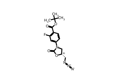 CC(C)(C)OC(=O)c1ccc(N2C[C@H](CN=[N+]=[N-])OC2=O)cc1F